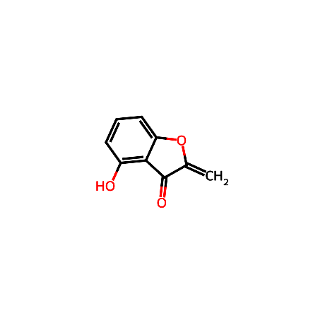 C=C1Oc2cccc(O)c2C1=O